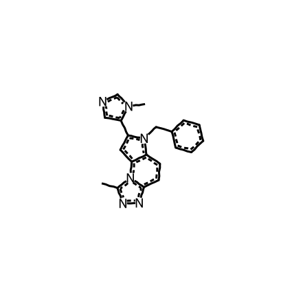 Cc1nnc2ccc3c(cc(-c4cncn4C)n3Cc3ccccc3)n12